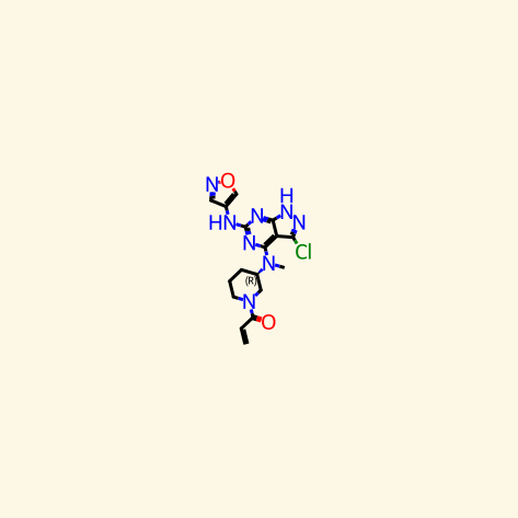 C=CC(=O)N1CCC[C@@H](N(C)c2nc(Nc3cnoc3)nc3[nH]nc(Cl)c23)C1